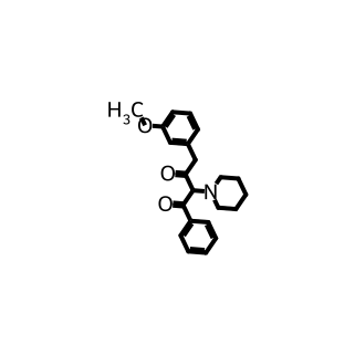 COc1cccc(CC(=O)C(C(=O)c2ccccc2)N2CCCCC2)c1